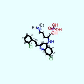 CCN(CC)CCCC(C)Nc1cc(C=Cc2ccccc2Cl)nc2cc(Cl)ccc12.O=P(O)(O)O